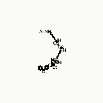 CCC(COC)(COC(=O)NCCCCCCNC(=O)OCCOC(=O)NCCCCCCNC(C)=O)COc1ccc(C(=O)c2ccccc2)cc1